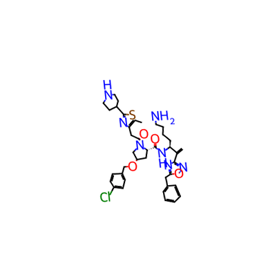 C=C(c1noc(Cc2ccccc2)n1)[C@H](CCCCN)NC(=O)[C@@H]1C[C@@H](OCc2ccc(Cl)cc2)CN1C(=O)Cc1nc(C2CCNCC2)sc1C